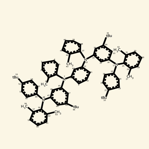 Cc1ccccc1N(c1cccc(N(c2cc(N(c3ccc(C(C)(C)C)cc3)c3c(C)cccc3C)cc(C(C)(C)C)c2)c2ccccc2C)c1)c1cc(N(c2ccc(C(C)(C)C)cc2)c2c(C)cccc2C)cc(C(C)(C)C)c1